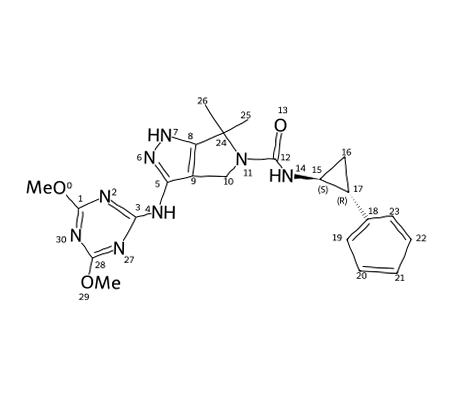 COc1nc(Nc2n[nH]c3c2CN(C(=O)N[C@H]2C[C@@H]2c2ccccc2)C3(C)C)nc(OC)n1